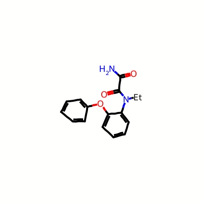 CCN(C(=O)C(N)=O)c1ccccc1Oc1ccccc1